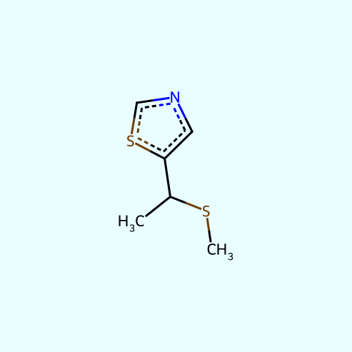 CSC(C)c1cncs1